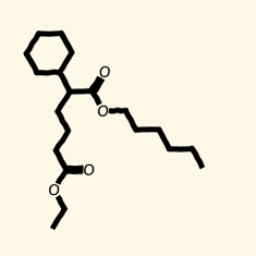 CCCCCCOC(=O)C(CCCC(=O)OCC)C1CCCCC1